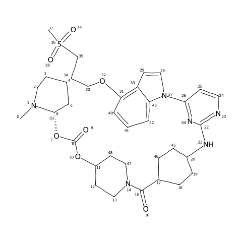 CN1CCCC[C@@H]1OC(=O)OC1CCN(C(=O)C2CCC(Nc3nccc(-n4ccc5c(OCCCS(C)(=O)=O)cccc54)n3)CC2)CC1